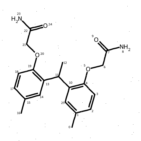 Cc1ccc(OCC(N)=O)c(C(C)c2cc(C)ccc2OCC(N)=O)c1